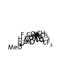 COC(=O)CCCC(=O)N1CCCC(N(Cc2cc(C(F)(F)F)cc(C(F)(F)F)c2)c2nnn(C)n2)c2cc(C)c(C(F)(F)F)c(C)c21